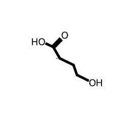 O=C(O)[CH]CCO